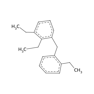 CCc1ccccc1Cc1cccc(CC)c1CC